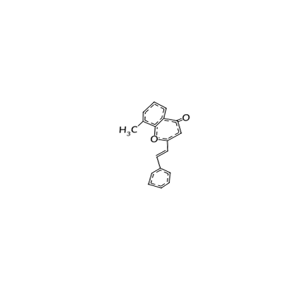 Cc1cccc2c(=O)cc(C=Cc3ccccc3)oc12